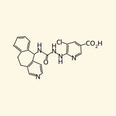 O=C(NNc1ncc(C(=O)O)cc1Cl)NC1c2ccccc2CCc2cnccc21